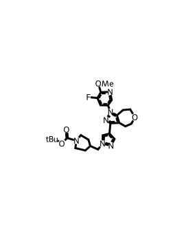 COc1ncc(-n2nc(-c3cnn(CC4CCN(C(=O)OC(C)(C)C)CC4)c3)c3c2CCOCC3)cc1F